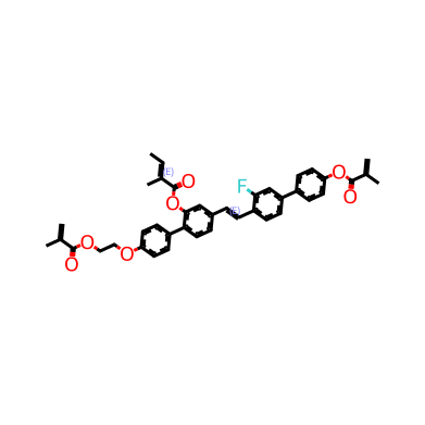 C=C(C)C(=O)OCCOc1ccc(-c2ccc(/C=C/c3ccc(-c4ccc(OC(=O)C(=C)C)cc4)cc3F)cc2OC(=O)/C(C)=C/C)cc1